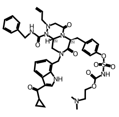 C=CCN1CC(=O)N2[C@@H](Cc3ccc(OS(=O)(=O)NC(=O)OCCN(C)C)cc3)C(=O)N(Cc3cccc4c(C(=O)C5CC5)c[nH]c34)C[C@@H]2N1C(=O)NCc1ccccc1